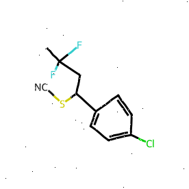 CC(F)(F)CC(SC#N)c1ccc(Cl)cc1